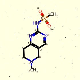 CN1CCc2nc(NS(C)(=O)=O)ncc2C1